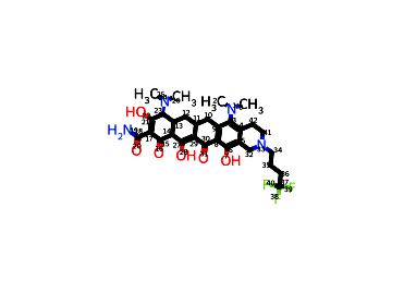 CN(C)c1c2c(c(O)c3c1CC1CC4C(C(=O)C(C(N)=O)=C(O)[C@H]4N(C)C)C(O)=C1C3=O)CN(CCCC(F)(F)F)CC2